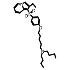 CCCCN(CCCC)CCCCCOc1ccc(S(=O)(=O)c2c(CC)cn3ccccc23)cc1